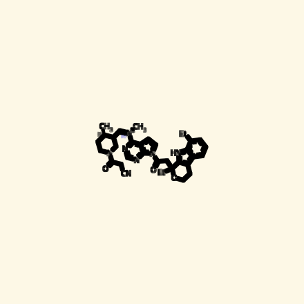 CCc1cccc2c3c([nH]c12)C(CC)(CC(=O)n1ccc2c(/[N+](C)=C\C4CN(C(=O)CC#N)CC[C@H]4C)ncnc21)OCC3